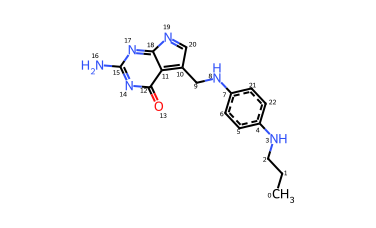 CCCNc1ccc(NCC2=C3C(=O)N=C(N)N=C3N=C2)cc1